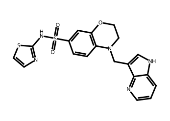 O=S(=O)(Nc1nccs1)c1ccc2c(c1)OCCN2Cc1c[nH]c2cccnc12